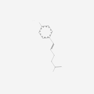 CCC(I)CCC=Cc1ccc(OC)cc1